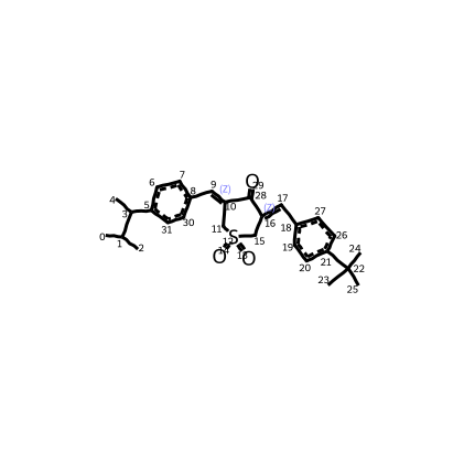 CC(C)C(C)c1ccc(/C=C2\CS(=O)(=O)C/C(=C\c3ccc(C(C)(C)C)cc3)C2=O)cc1